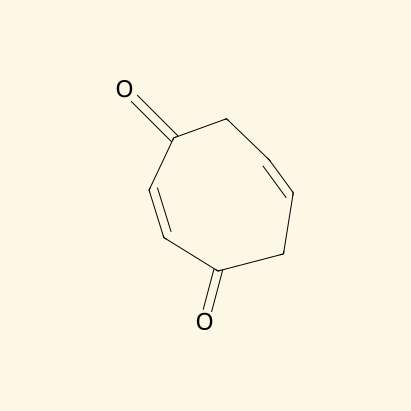 O=C1/C=C\C(=O)C/C=C\C1